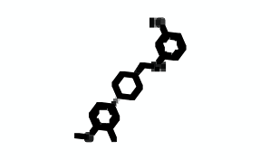 COc1ccc([C@H]2CC[C@H](CNc3cccc(O)c3)CC2)cc1C